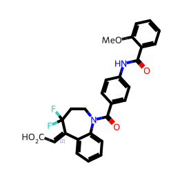 COc1ccccc1C(=O)Nc1ccc(C(=O)N2CCC(F)(F)/C(=C\C(=O)O)c3ccccc32)cc1